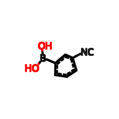 [C-]#[N+]c1cccc(B(O)O)c1